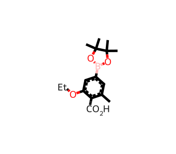 CCOc1cc(B2OC(C)(C)C(C)(C)O2)cc(C)c1C(=O)O